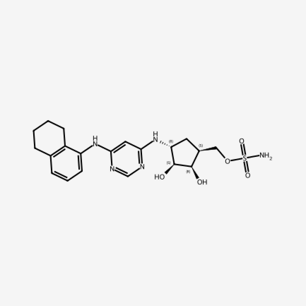 NS(=O)(=O)OC[C@@H]1C[C@@H](Nc2cc(Nc3cccc4c3CCCC4)ncn2)[C@H](O)[C@@H]1O